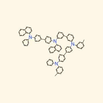 Cc1cccc(N(c2ccccc2)c2ccc(-c3ccc(N(c4cccc(C)c4)c4cccc(-c5cccc(N(c6ccc(-c7ccc(N(c8ccccc8)c8cccc9ccccc89)cc7)cc6)c6cccc7ccccc67)c5)c4)cc3)cc2)c1